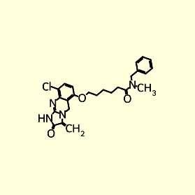 C=c1c(=O)[nH]c2n1Cc1c(OCCCCCC(=O)N(C)Cc3ccccc3)ccc(Cl)c1N=2